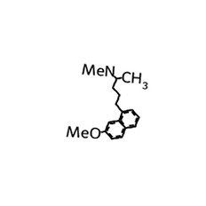 CNC(C)CCCc1cccc2ccc(OC)cc12